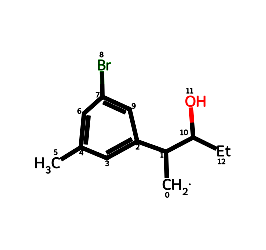 [CH2]C(c1cc(C)cc(Br)c1)C(O)CC